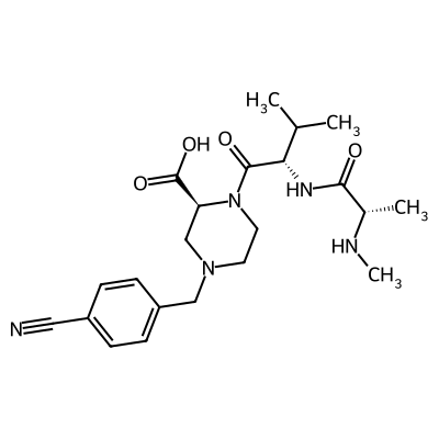 CN[C@@H](C)C(=O)N[C@H](C(=O)N1CCN(Cc2ccc(C#N)cc2)C[C@H]1C(=O)O)C(C)C